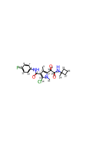 Cc1c(C(=O)Nc2ccc(F)cc2)c(Cl)n(C)c1C(=O)C(=O)NC1(C)CCC1